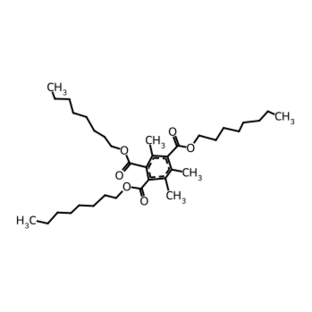 CCCCCCCCOC(=O)c1c(C)c(C)c(C(=O)OCCCCCCCC)c(C(=O)OCCCCCCCC)c1C